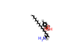 CCCCCCCCCCCCCCCCC(C)C(C)(C)N.Cc1ccc(S(=O)(=O)O)cc1